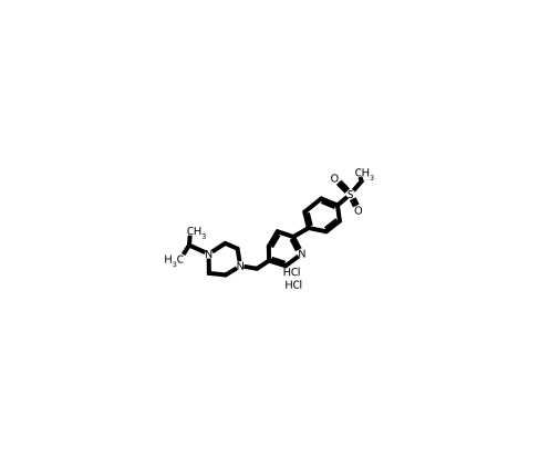 CCS(=O)(=O)c1ccc(-c2ccc(CN3CCN(C(C)C)CC3)cn2)cc1.Cl.Cl